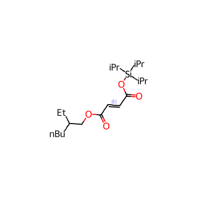 CCCCC(CC)COC(=O)/C=C/C(=O)O[Si](C(C)C)(C(C)C)C(C)C